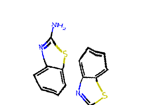 Nc1nc2ccccc2s1.c1ccc2scnc2c1